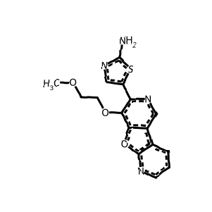 COCCOc1c(-c2cnc(N)s2)ncc2c1oc1ncccc12